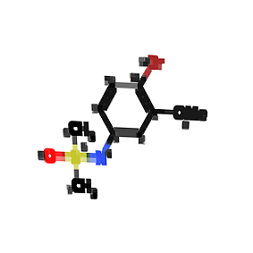 COc1cc(N=S(C)(C)=O)ccc1Br